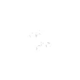 Cc1cc(C)cc(P(CCP(c2cc(C)cc(C)c2)c2cc(C)cc(C)c2)c2cc(C)cc(C)c2)c1